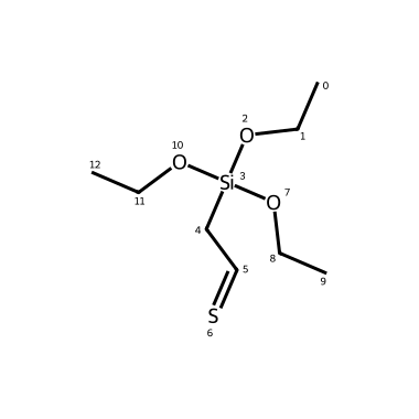 CCO[Si](CC=S)(OCC)OCC